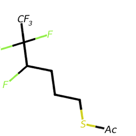 CC(=O)SCCCC(F)C(F)(F)C(F)(F)F